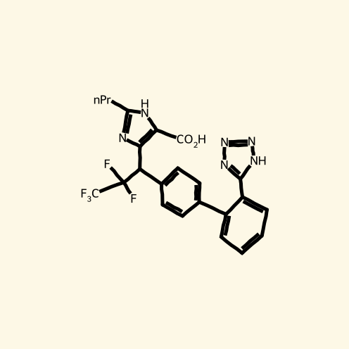 CCCc1nc(C(c2ccc(-c3ccccc3-c3nnn[nH]3)cc2)C(F)(F)C(F)(F)F)c(C(=O)O)[nH]1